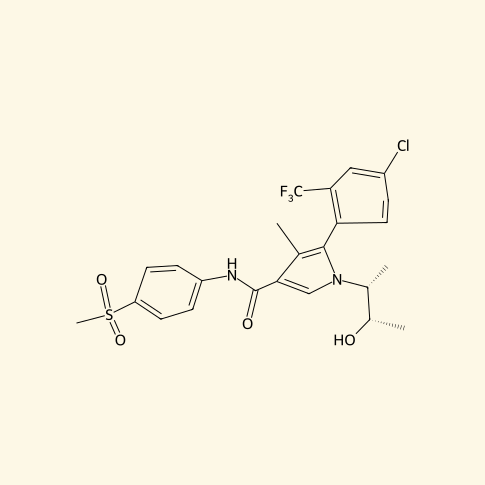 Cc1c(C(=O)Nc2ccc(S(C)(=O)=O)cc2)cn([C@H](C)[C@H](C)O)c1-c1ccc(Cl)cc1C(F)(F)F